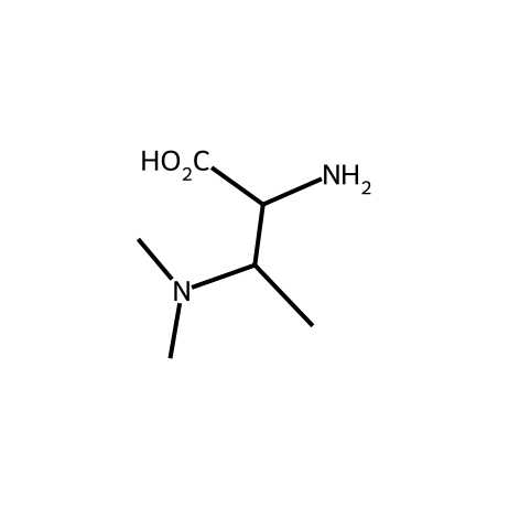 CC(C(N)C(=O)O)N(C)C